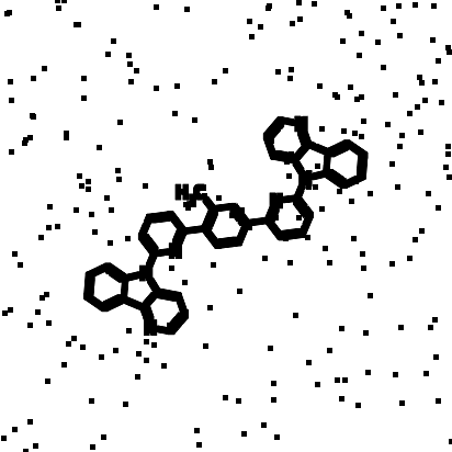 Cc1cc(-c2cccc(-n3c4ccccc4c4ncccc43)n2)ccc1-c1cccc(-n2c3ccccc3c3ncccc32)n1